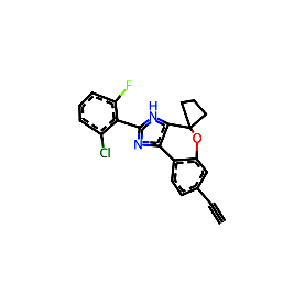 C#Cc1ccc2c(c1)OC1(CCC1)c1[nH]c(-c3c(F)cccc3Cl)nc1-2